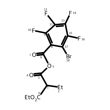 CCOC(=O)C(CC)C(=O)OC(=O)c1c(F)c(F)c(F)c(F)c1Br